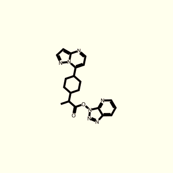 CC(C(=O)On1nnc2cccnc21)C1CCC(c2ccnc3ccnn23)CC1